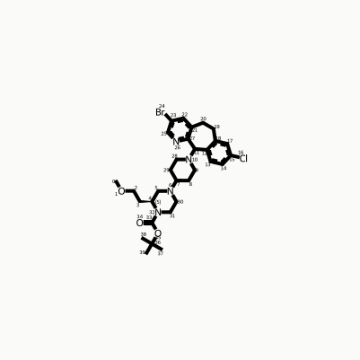 COCC[C@H]1CN(C2CCN(C3c4ccc(Cl)cc4CCc4cc(Br)cnc43)CC2)CCN1C(=O)OC(C)(C)C